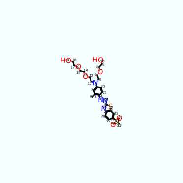 Cc1cc(N(CCOCCO)CCOCCOCCO)ccc1/N=N/c1nc2ccc(S(C)(=O)=O)cc2s1